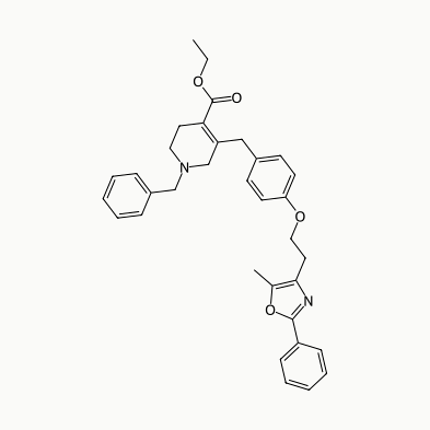 CCOC(=O)C1=C(Cc2ccc(OCCc3nc(-c4ccccc4)oc3C)cc2)CN(Cc2ccccc2)CC1